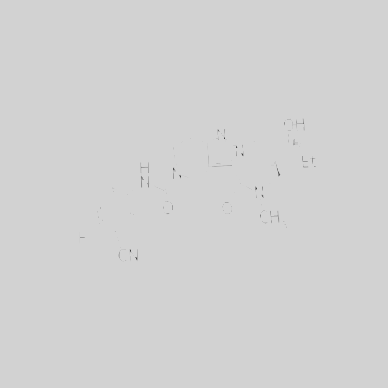 CC[C@@H](O)[C@H]1CN(C)C(=O)c2c3c(nn2C1)CCN(C(=O)Nc1ccc(F)c(C#N)c1)C3